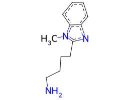 Cn1c(CCCCN)nc2ccccc21